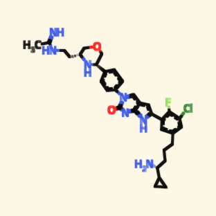 CC(=N)NCC[C@@H]1COC[C@@H](c2ccc(-n3cc4cc(-c5cc(CCC[C@@H](N)C6CC6)cc(Cl)c5F)[nH]c4nc3=O)cc2)N1